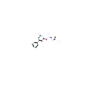 Cc1csc(NC(=O)c2nc(C)cc(-c3cc(F)cc(F)c3)c2C)n1